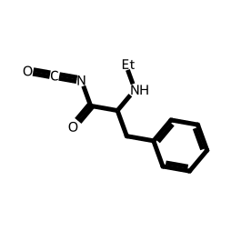 CCNC(Cc1ccccc1)C(=O)N=C=O